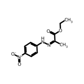 CCOC(=O)C(C)=NNc1ccc([N+](=O)[O-])cc1